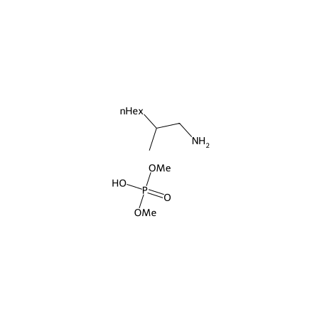 CCCCCCC(C)CN.COP(=O)(O)OC